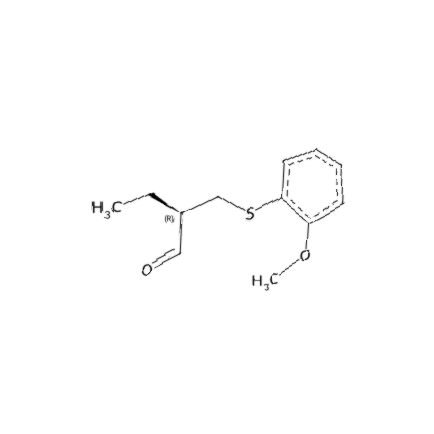 CC[C@H](C=O)CSc1ccccc1OC